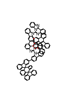 c1ccc2c(c1)-c1ccccc1C21c2ccccc2C2(c3ccccc3-c3ccc(-c4ccc5c6ccccc6n(-c6nc7cccc(-c8cc9c%10ccccc%10n(-c%10nc%11ccccc%11c%11nc%12ccccc%12n%10%11)c9cc8-c8ccc9c(c8)C8(c%10ccccc%10-9)c9ccccc9-c9c8c8ccccc8c8ccccc98)c7c7nc8ccccc8n67)c5c4)cc32)c2ccccc21